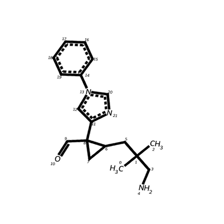 CC(C)(CN)CC1CC1(C=O)c1cn(-c2ccccc2)cn1